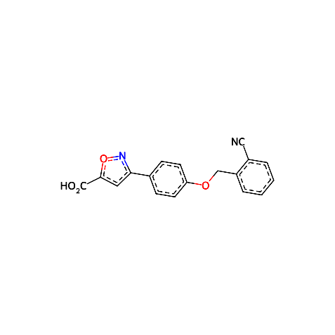 N#Cc1ccccc1COc1ccc(-c2cc(C(=O)O)on2)cc1